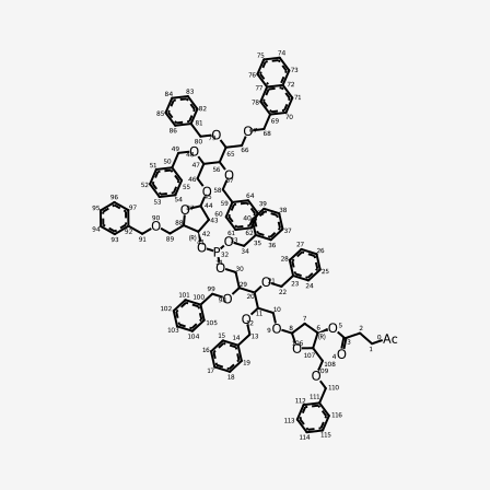 CC(=O)CCC(=O)O[C@@H]1CC(OCC(OCc2ccccc2)C(OCc2ccccc2)C(COP(OCc2ccccc2)O[C@@H]2CC(OCC(OCc3ccccc3)C(OCc3ccccc3)C(COCc3ccc4ccccc4c3)OCc3ccccc3)OC2COCc2ccccc2)OCc2ccccc2)OC1COCc1ccccc1